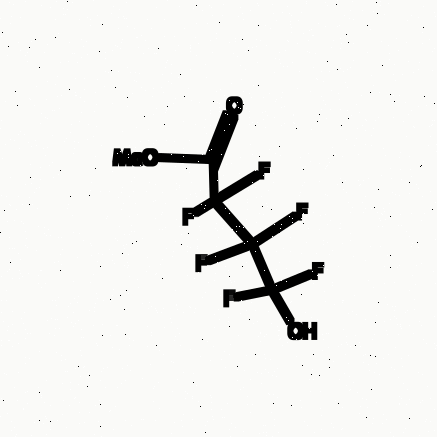 COC(=O)C(F)(F)C(F)(F)C(O)(F)F